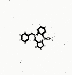 CN1c2ccccc2N(Cc2ccccc2)CC2CCCC21